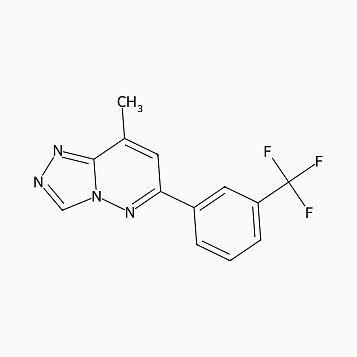 Cc1cc(-c2cccc(C(F)(F)F)c2)nn2cnnc12